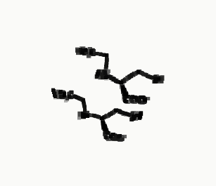 O=C(O)CN[C@@H](CS)C(=O)[O-].O=C(O)CN[C@@H](CS)C(=O)[O-].[Zn+2]